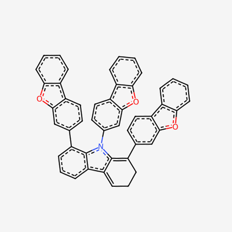 C1=c2c(n(-c3ccc4c(c3)oc3ccccc34)c3c(-c4ccc5c(c4)oc4ccccc45)cccc23)=C(c2ccc3c(c2)oc2ccccc23)CC1